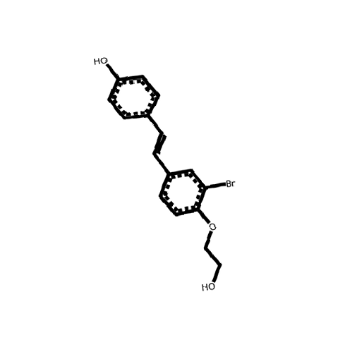 OCCOc1ccc(/C=C/c2ccc(O)cc2)cc1Br